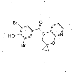 O=C(c1cc(Br)c(O)c(Br)c1)N1CC2(CC2)Oc2ncccc21